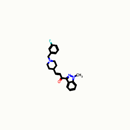 Cn1nc(C(=O)C=CC2CCN(Cc3cccc(F)c3)CC2)c2ccccc21